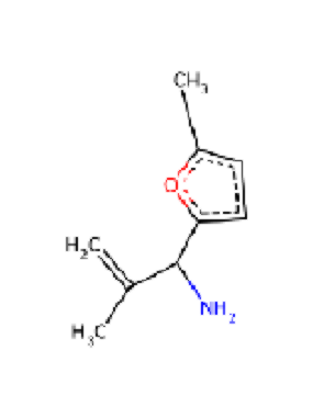 C=C(C)C(N)c1ccc(C)o1